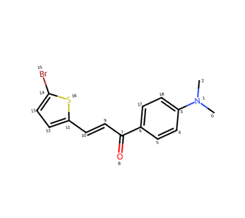 CN(C)c1ccc(C(=O)/C=C/c2ccc(Br)s2)cc1